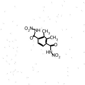 Cc1c(C(=O)N[N+](=O)[O-])ccc(C(=O)N[N+](=O)[O-])c1C